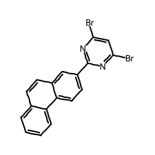 Brc1cc(Br)nc(-c2ccc3c(ccc4ccccc43)c2)n1